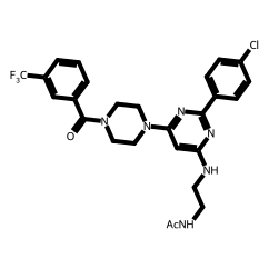 CC(=O)NCCNc1cc(N2CCN(C(=O)c3cccc(C(F)(F)F)c3)CC2)nc(-c2ccc(Cl)cc2)n1